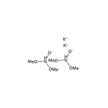 CO[SiH]([O-])OC.CO[SiH]([O-])OC.[K+].[K+]